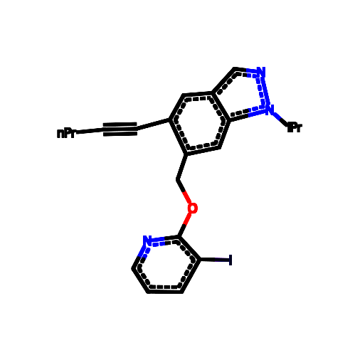 CCCC#Cc1cc2cnn(C(C)C)c2cc1COc1ncccc1I